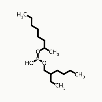 CCCCCCC(C)OP(O)OCC(CC)CCCC